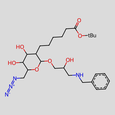 CC(C)(C)OC(=O)CCCCCC1C(OCC(O)CNCc2ccccc2)OC(CN=[N+]=[N-])C(O)C1O